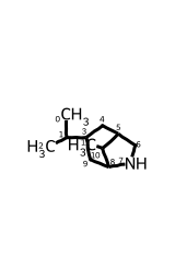 CC(C)C1CC2CNC(C1)C2C